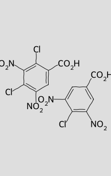 O=C(O)c1cc([N+](=O)[O-])c(Cl)c([N+](=O)[O-])c1.O=C(O)c1cc([N+](=O)[O-])c(Cl)c([N+](=O)[O-])c1Cl